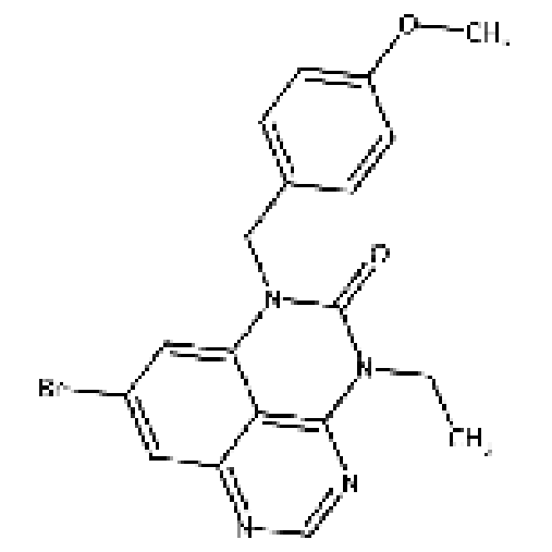 CCN1C(=O)N(Cc2ccc(OC)cc2)c2cc(Br)cc3ncnc1c23